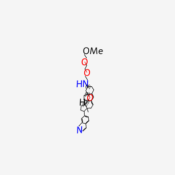 COCCOCCOCCN[C@@H]1CCC2=CC3=CCC4(C)C(c5ccc6ccncc6c5)CC[C@H]4[C@@]34CC[C@]2(C1)O4